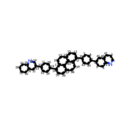 c1cnc2ccc(-c3ccc(-c4ccc5ccc6c(-c7ccc(-c8cnc9ccccc9c8)cc7)ccc7ccc4c5c76)cc3)cc2c1